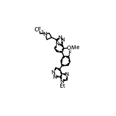 CCn1cnc2c(-c3ccc(F)c(-c4ccn5c(C6CN(CC(F)(F)F)C6)nnc5c4OC)c3)cnnc21